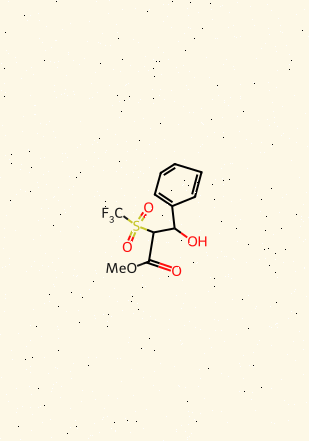 COC(=O)C(C(O)c1ccccc1)S(=O)(=O)C(F)(F)F